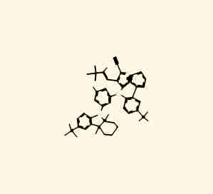 C#Cc1scc(N(c2cc(C)cc(N3c4ccc(C(C)(C)C)cc4C4(C)CCCCC34C)c2)c2ccc(C(C)(C)C)cc2-c2ccccc2)c1/C=C(\C)C(C)(C)C